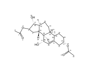 CC(=O)OC1C[C@H]2[C@@H]3[C@@H](O)C=C4C[C@@H](OC(C)=O)CC[C@]4(C)[C@H]3CC[C@]2(C)[C@H]1O